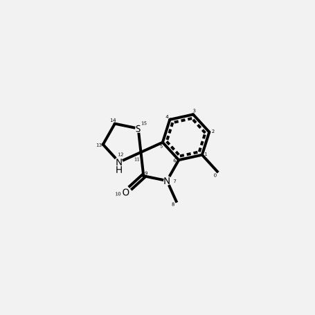 Cc1cccc2c1N(C)C(=O)C21NCCS1